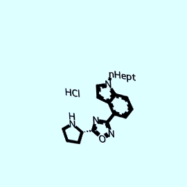 CCCCCCCn1ccc2c(-c3noc([C@@H]4CCCN4)n3)cccc21.Cl